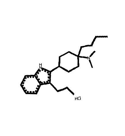 CCCCC1(N(C)C)CCC(c2[nH]c3ccccc3c2CCC)CC1.Cl